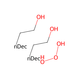 CCCCCCCCCCCCO.CCCCCCCCCCCCO.OOO